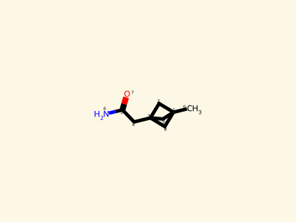 CC12CC(CC(N)=O)(C1)C2